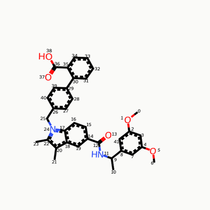 COc1cc(OC)cc(C(C)NC(=O)c2ccc3c(c2)c(C)c(C)n3Cc2ccc(-c3ccccc3C(=O)O)cc2)c1